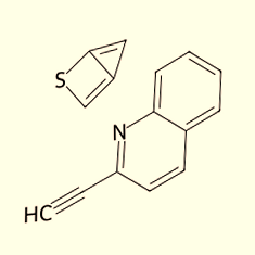 C#Cc1ccc2ccccc2n1.c1sc2cc1-2